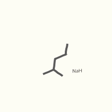 C[CH]CC(C)C.[NaH]